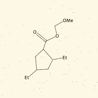 CCC1CC(CC)C(C(=O)OCOC)C1